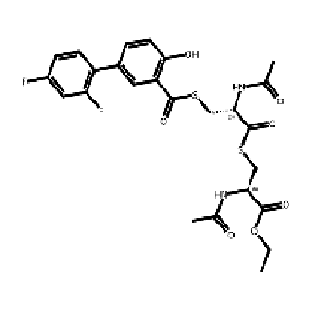 CCOC(=O)[C@H](CSC(=O)[C@H](CSC(=O)c1cc(-c2ccc(F)cc2F)ccc1O)NC(C)=O)NC(C)=O